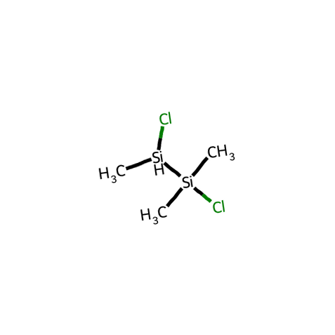 C[SiH](Cl)[Si](C)(C)Cl